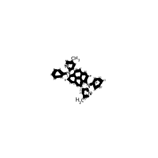 Cc1ccc(N(c2ccccc2)c2ccc3ccc4c(N(c5ccc(C)cn5)C5C=CC=CC5)ccc5ccc2c3c54)nc1